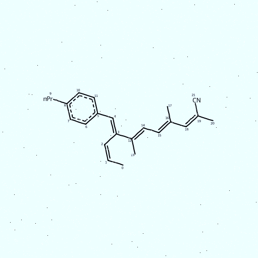 C\C=C/C(=C\c1ccc(CCC)cc1)C(/C)=C/C=C(C)/C=C(/C)C#N